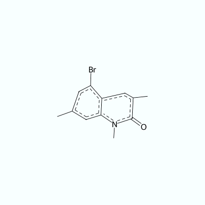 Cc1cc(Br)c2cc(C)c(=O)n(C)c2c1